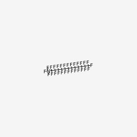 FC(F)(F)C(F)(F)C(F)(F)C(F)(F)C(F)(F)C(F)(F)C(F)(F)C(F)(F)C(F)(F)C(F)(F)C(F)(F)C(F)(F)[N+](F)(F)F